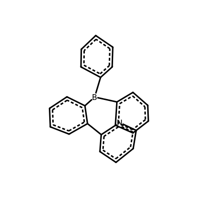 c1ccc(B(c2ccccc2)c2ccccc2-c2ccccn2)cc1